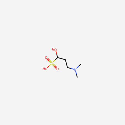 CN(C)CCC(O)S(=O)(=O)O